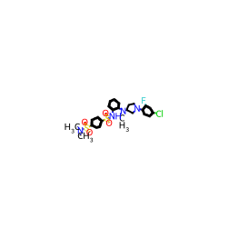 CN(c1ccccc1NS(=O)(=O)c1ccc(S(=O)(=O)N(C)C)cc1)[C@@H]1CCN(c2ccc(Cl)cc2F)C1